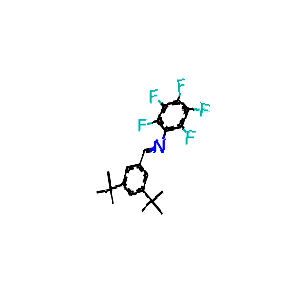 CC(C)(C)c1cc(/C=N/c2c(F)c(F)c(F)c(F)c2F)cc(C(C)(C)C)c1